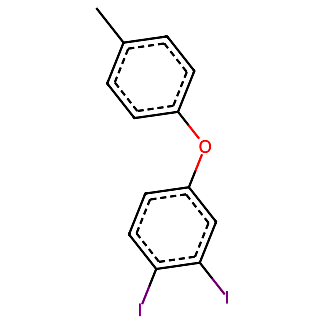 Cc1ccc(Oc2ccc(I)c(I)c2)cc1